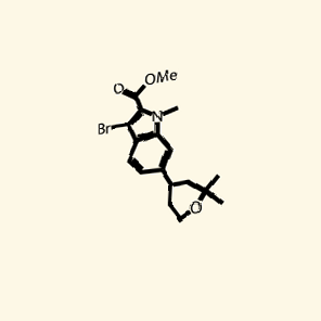 COC(=O)c1c(Br)c2ccc(C3CCOC(C)(C)C3)cc2n1C